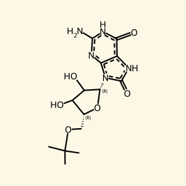 CC(C)(C)OC[C@H]1O[C@@H](n2c(=O)[nH]c3c(=O)[nH]c(N)nc32)C(O)C1O